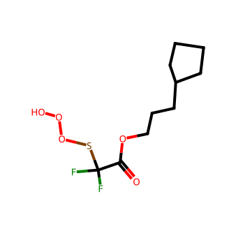 O=C(OCCCC1CCCC1)C(F)(F)SOOO